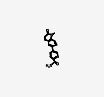 CN1C(=O)CCc2cc(-c3c[c]c(C(N)=O)nc3)ccc21